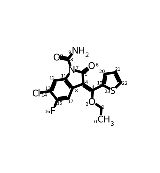 CCOC(=C1C(=O)N(C(N)=O)c2cc(Cl)c(F)cc21)c1cccs1